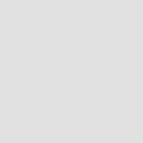 CCOC(OCC)c1ccc(C(=O)c2ccccc2F)cc1